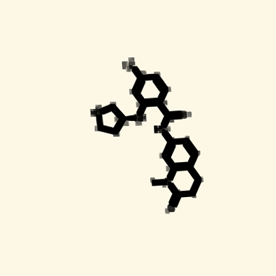 CN1C(=O)CCc2ccc(NC(=O)c3ccc(C(F)(F)F)cc3N[C@H]3CCNC3)cc21